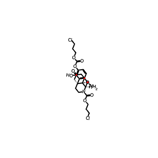 NO[C@@]12CCC(=O)C[C@@]13CCN(C(=O)OCCCCl)[C@@H]2Cc1ccc(OC(=O)OCCCCl)c(O)c13